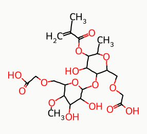 C=C(C)C(=O)OC1C(C)OC(COCC(=O)O)C(OC2OC(COCC(=O)O)C(OC)C(O)C2O)C1O